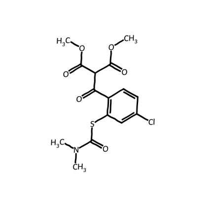 COC(=O)C(C(=O)OC)C(=O)c1ccc(Cl)cc1SC(=O)N(C)C